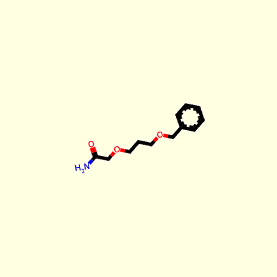 NC(=O)COCCCOCc1ccccc1